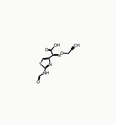 C#CCO/N=C(\C(=O)O)c1csc(NC=O)n1